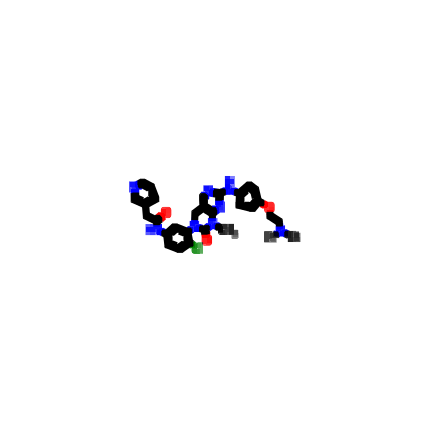 CCN(CC)CCOc1ccc(Nc2ncc3c(n2)N(C)C(=O)N(c2cc(NC(=O)Cc4cccnc4)ccc2Cl)C3)cc1